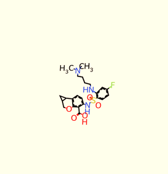 CN(C)CCCCNc1cc(F)ccc1S(=O)(=O)Nc1ccc2c(c1C(=O)O)OCC1CC21